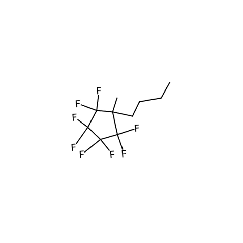 CCCCC1(C)C(F)(F)C(F)(F)C(F)(F)C1(F)F